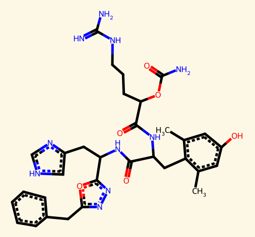 Cc1cc(O)cc(C)c1CC(NC(=O)C(CCCNC(=N)N)OC(N)=O)C(=O)NC(Cc1c[nH]cn1)c1nnc(Cc2ccccc2)o1